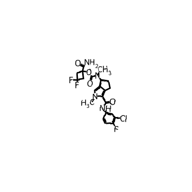 CN(C(=O)OC1(C(N)=O)CC(F)(F)C1)C1CCc2c1cn(C)c2C(=O)Nc1ccc(F)c(Cl)c1